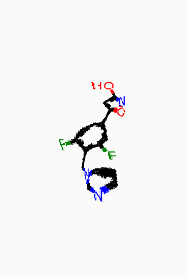 Oc1cc(-c2cc(F)c(Cn3ccnc3)c(F)c2)on1